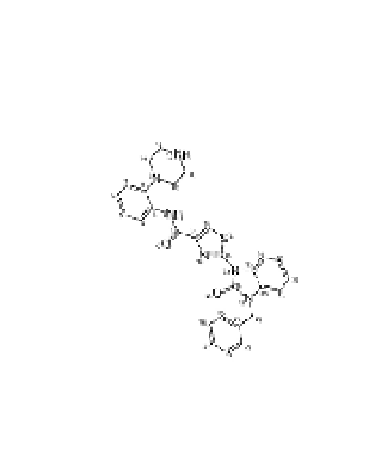 O=C(Nc1ccccc1N1CCNCC1)c1csc(-n2c(=O)n(Cc3ccccc3)c3ccccc32)n1